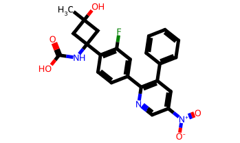 CC1(O)CC(NC(=O)O)(c2ccc(-c3ncc([N+](=O)[O-])cc3-c3ccccc3)cc2F)C1